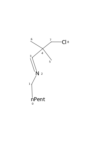 CCCCCCN=CC(C)(C)CCl